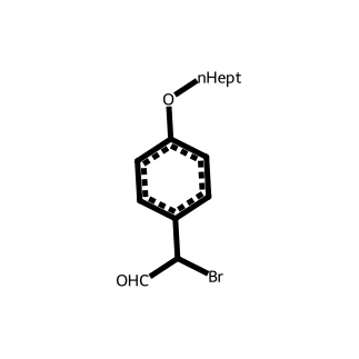 CCCCCCCOc1ccc(C(Br)C=O)cc1